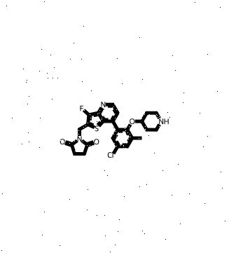 Cc1cc(Cl)cc(-c2ccnc3c(F)c(CN4C(=O)CCC4=O)sc23)c1OC1CCNCC1